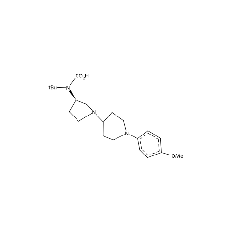 COc1ccc(N2CCC(N3CC[C@@H](N(C(=O)O)C(C)(C)C)C3)CC2)cc1